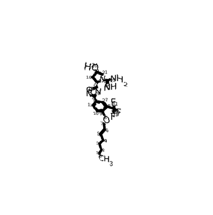 CCCCCCCCOc1ccc(-c2noc([C@@H]3C[C@@H](O)CN3C(=N)N)n2)cc1C(F)(F)F